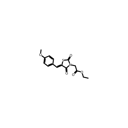 CCOC(=O)CN1C(=O)S/C(=C\c2ccc(OC)cc2)C1=O